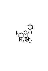 CN1C2CCC1C(C(=O)Oc1ccccc1)[C@@H](c1ccc(I)cc1)C2